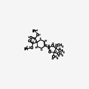 CC(C)OC(=O)C1(C(=O)OC(C)C)CC=C(B2OC(C)(C)C(C)(C)O2)CC1